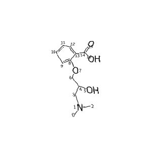 CN(C)CC(O)COc1ccccc1C(=O)O